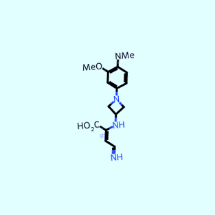 CNc1ccc(N2CC(N/C(=C\C=N)C(=O)O)C2)cc1OC